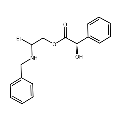 CCC(COC(=O)[C@H](O)c1ccccc1)NCc1ccccc1